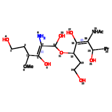 COC(CCO)/C(O)=C(\N)C(O)OC(CCO)/C(O)=C(/NC(C)=O)C(O)C(C)C